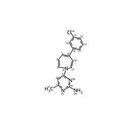 Cc1cc(N2C=CC=C(c3cccc(Cl)c3)C=C2)nc(N)n1